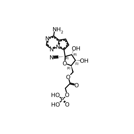 N#C[C@@]1(c2ccc3c(N)ncnn23)O[C@H](COC(=O)COP(=O)(O)O)[C@@H](O)[C@H]1O